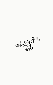 COc1cccc(-n2nc(C)c3c(-c4ccc(N5CCOCC5)cc4)cc(C(=O)O)nc32)c1